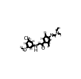 CCN(C)C=Nc1cc(C)c(C(=O)CNc2cc(Cl)cc(OC)c2)cc1C